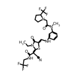 CCn1c(=C(C#N)C(=O)NCC(F)(F)F)sc(=CNc2cccc(N(C)C(=O)CN3CCCC3C(F)(F)F)c2)c1=O